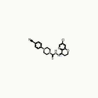 N#Cc1ccc(N2CCN(C(=S)N/N=C3/CCOc4cc(Cl)cnc43)CC2)cc1